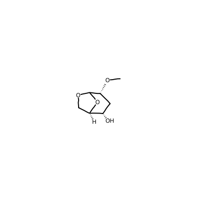 CO[C@@H]1C[C@H](O)[C@H]2COC1O2